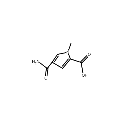 Cn1cc(C(N)=O)cc1C(=O)O